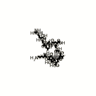 CC(C)CC(NC(=O)C(C)NC(=O)C(CCC(=O)O)NC(=O)CNC(=O)CNC(=O)C(NC(=O)C(CCC(=O)O)NC(=O)C(CC(=O)O)NC(=O)C(NC(=O)C(N)CCCCN)C(C)C)C(C)C)C(=O)NCC(=O)NC(CCCNC(=N)N)C(=O)O